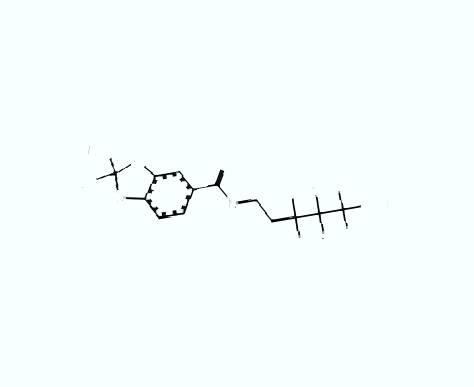 CC1(C)Oc2ccc(C(=O)NCCC(F)(F)C(F)(F)C(F)(F)S(=O)(=O)O)cc2O1